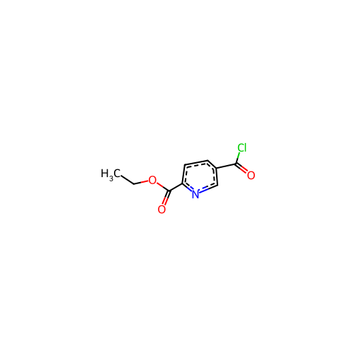 CCOC(=O)c1ccc(C(=O)Cl)cn1